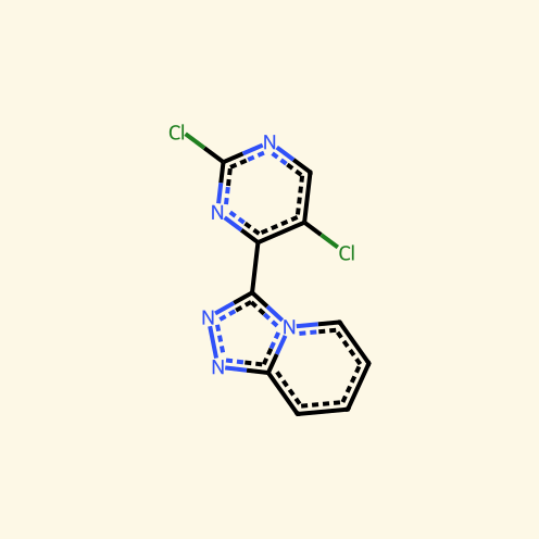 Clc1ncc(Cl)c(-c2nnc3ccccn23)n1